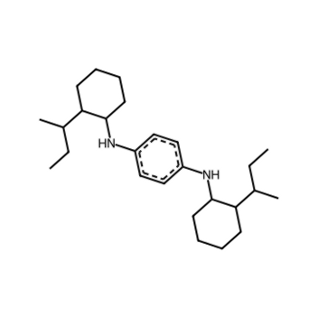 CCC(C)C1CCCCC1Nc1ccc(NC2CCCCC2C(C)CC)cc1